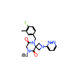 CCC(C)N1CC(=O)N(Cc2ccc(F)c(C)c2)C2(CN(c3cccnn3)C2)C1=O